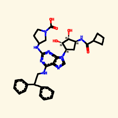 O=C(N[C@H]1C[C@@H](n2cnc3c(NCC(c4ccccc4)c4ccccc4)nc(NC4CCN(C(=O)O)C4)nc32)[C@H](O)[C@@H]1O)C1CCC1